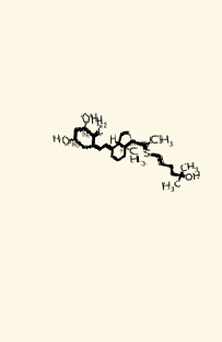 C=C1C(=CC=C2CCC[C@]3(C)[C@@H]([C@@H](C)SCCCCC(C)(C)O)CC[C@@H]23)C[C@@H](O)C[C@@H]1O